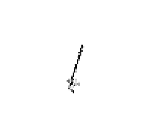 CCCCCCCCCCCCCCCCCC(=O)NC(O)C[N+](C)(C)CCC